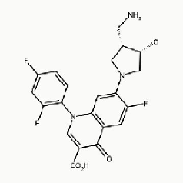 NC[C@H]1CN(c2cc3c(cc2F)c(=O)c(C(=O)O)cn3-c2ccc(F)cc2F)C[C@H]1Cl